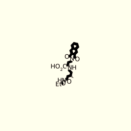 CCONC(=O)C[C@@H](C)CCN[C@H](CCN1C(=O)c2cc3ccccc3cc2C1=O)C(=O)O